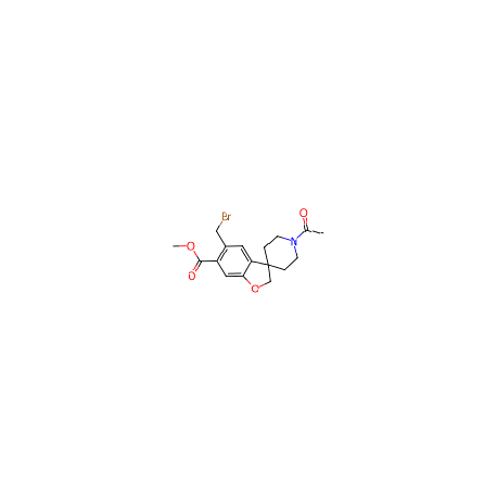 COC(=O)c1cc2c(cc1CBr)C1(CCN(C(C)=O)CC1)CO2